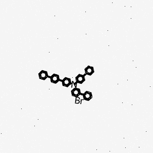 Brc1ccc(N(c2ccc(-c3ccccc3)cc2)c2ccc(-c3ccc(-c4ccccc4)cc3)cc2)cc1-c1ccccc1